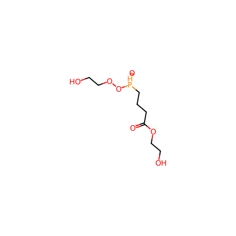 O=C(CCC[PH](=O)OOCCO)OCCO